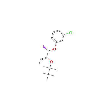 CC=C(O[Si](C)(C)C(C)(C)C)[C@@H](I)Oc1cccc(Cl)c1